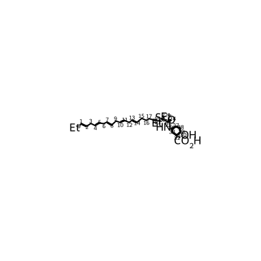 CCC=CCC=CCC=CCC=CCC=CCCCCSC(CC)(CC)C(=O)Nc1ccc(O)c(C(=O)O)c1